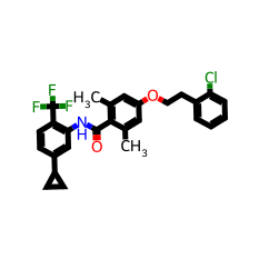 Cc1cc(OCCc2ccccc2Cl)cc(C)c1C(=O)Nc1cc(C2CC2)ccc1C(F)(F)F